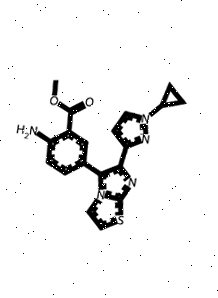 COC(=O)c1cc(-c2c(-c3ccn(C4CC4)n3)nc3sccn23)ccc1N